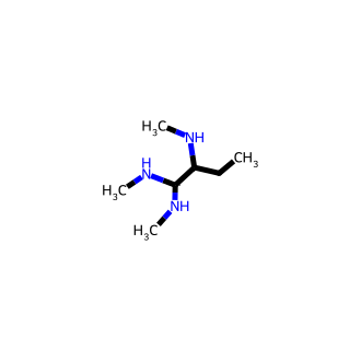 CC[C](NC)[C](NC)NC